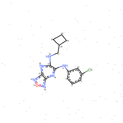 Clc1cccc(Nc2nc3nonc3nc2NCC2CCC2)c1